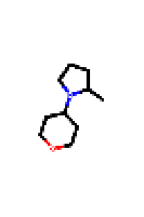 CC1CCCN1C1CCOCC1